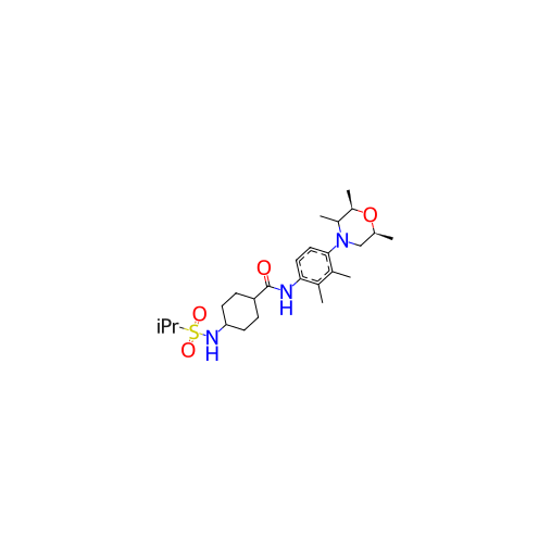 Cc1c(NC(=O)C2CCC(NS(=O)(=O)C(C)C)CC2)ccc(N2C[C@H](C)O[C@H](C)C2C)c1C